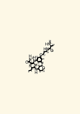 CCc1nc(C(N)=O)c(Nc2cc(F)cc(OCCCNC(=O)C(C)NC)c2)nc1NC1CCOCC1